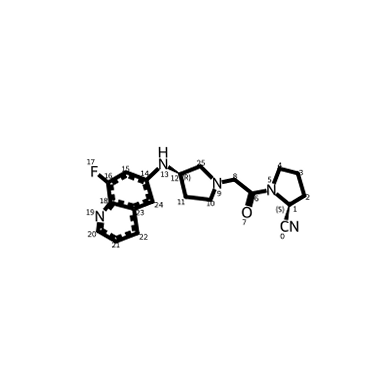 N#C[C@@H]1CCCN1C(=O)CN1CC[C@@H](Nc2cc(F)c3ncccc3c2)C1